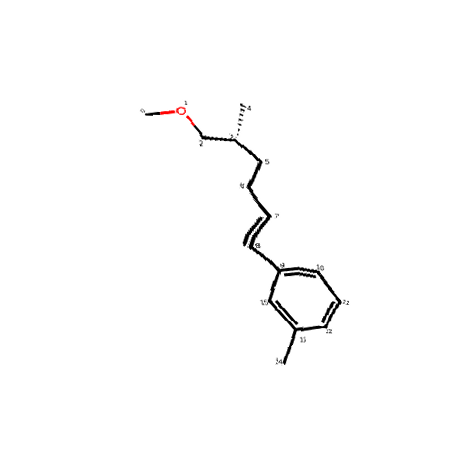 COC[C@H](C)CC/C=C/c1cccc(C)c1